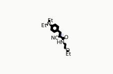 CCOCCNC(=O)/C(C#N)=C/c1ccc(N(CC)CC)cc1